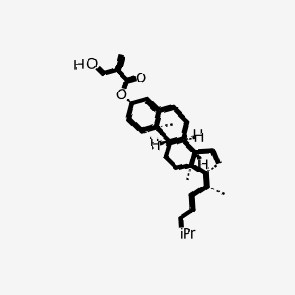 C=C(CO)C(=O)O[C@@H]1C=C2CC[C@H]3[C@@H]4CC[C@H]([C@H](C)CCCC(C)C)[C@@]4(C)CC[C@@H]3[C@@]2(C)CC1